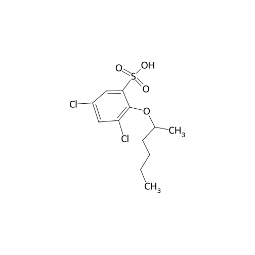 CCCCC(C)Oc1c(Cl)cc(Cl)cc1S(=O)(=O)O